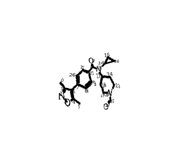 Cc1noc(C)c1-c1ccc(C(=O)N(C2CC2)C2CCN(C=O)CC2)cc1